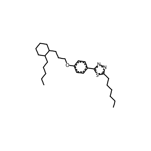 CCCCCCc1nnc(-c2ccc(OCCCC3CCCCC3CCCCC)cc2)s1